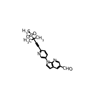 CC(C)(C#Cc1ccc(-n2ccc3cc(C=O)cnc32)cn1)S(C)(=O)=O